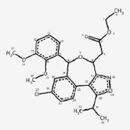 CCOC(=O)CC1OC(c2cccc(OC)c2OC)c2cc(Cl)ccc2-c2c1noc2C(C)C